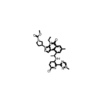 CCn1c(=O)c2cc(C)cc(C(C)Nc3ccc(Cl)nc3-c3ncn(C)n3)c2c2cnn(C3CCN(C(=O)OC)C3)c21